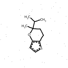 CC(C)C1(C)CCc2sccc2O1